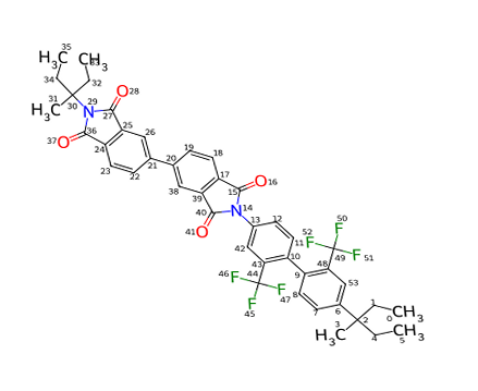 CCC(C)(CC)c1ccc(-c2ccc(N3C(=O)c4ccc(-c5ccc6c(c5)C(=O)N(C(C)(CC)CC)C6=O)cc4C3=O)cc2C(F)(F)F)c(C(F)(F)F)c1